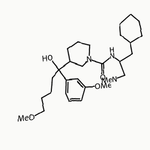 CNCC(CC1CCCCC1)NC(=O)N1CCCC(C(O)(CCCCOC)c2cccc(OC)c2)C1